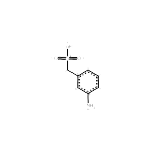 CCCS(=O)(=O)Cc1cccc(N)c1